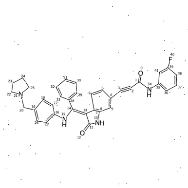 O=C(C#Cc1ccc2c(c1)NC(=O)/C2=C(\Nc1ccc(CN2CCCC2)cc1)c1ccccc1)Nc1cccc(F)c1